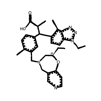 CC[C@@H]1CN(Cc2cc(C(c3ccc4c(nnn4CC)c3C)C(C)C(=O)O)ccc2C)Cc2cnccc2O1